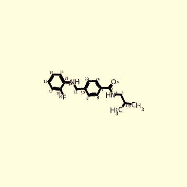 CC(C)CNC(=O)c1ccc(CNc2ccccc2F)cc1